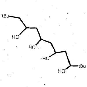 CC(C)(C)CC(O)CC(O)CC(O)CC(O)C(C)(C)C